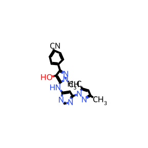 Cc1cc(C)n(-c2cc(Nc3c(O)c(-c4ccc(C#N)cc4)nn3C)ncn2)n1